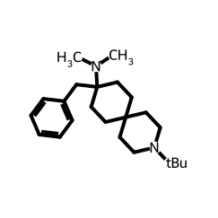 CN(C)C1(Cc2ccccc2)CCC2(CCN(C(C)(C)C)CC2)CC1